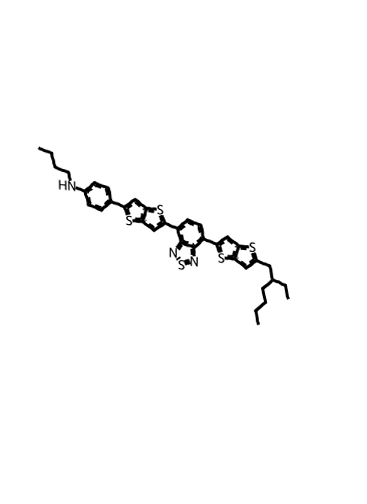 CCCCNc1ccc(-c2cc3sc(-c4ccc(-c5cc6sc(CC(CC)CCCC)cc6s5)c5nsnc45)cc3s2)cc1